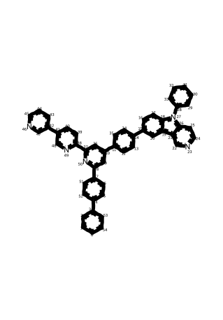 c1ccc(-c2ccc(-c3cc(-c4ccc(-c5ccc6c(c5)c5cnccc5n6-c5ccccc5)cc4)cc(-c4ccc(-c5cccnc5)cn4)n3)cc2)cc1